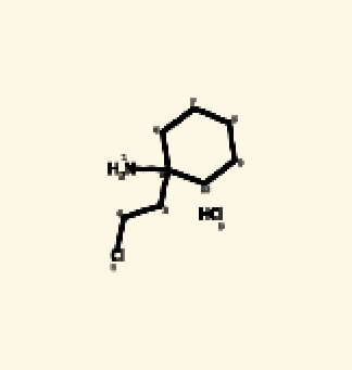 Cl.NC1(CCCl)CCCCC1